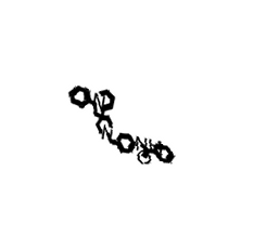 O=C(Nc1ccc(CN2CCC(CCc3ccccc3)(c3ccccn3)CC2)cc1)c1ccccc1